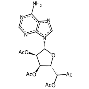 CC(=O)OC(C(C)=O)[C@H]1O[C@@H](n2cnc3c(N)ncnc32)[C@H](OC(C)=O)[C@@H]1OC(C)=O